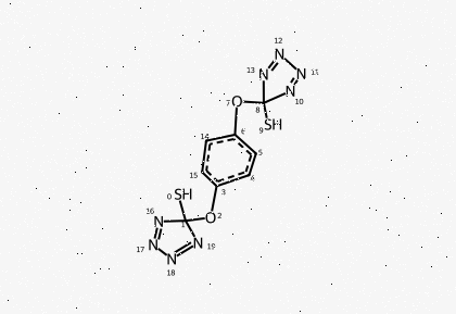 SC1(Oc2ccc(OC3(S)N=NN=N3)cc2)N=NN=N1